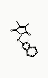 CC1=C(C)C(=O)N(Nc2nc3ccccc3s2)C1=O